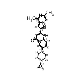 Cc1cn2nc(C3=CC(=O)N4C=C(N5CCN(C6CC6)CC5)C=CC4P3)cc2c(C)n1